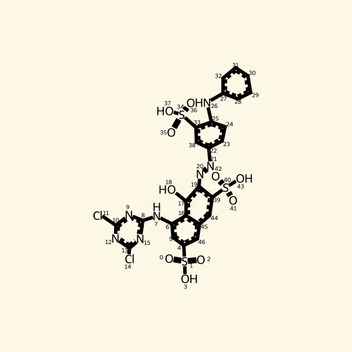 O=S(=O)(O)c1cc(Nc2nc(Cl)nc(Cl)n2)c2c(O)c(/N=N/c3ccc(Nc4ccccc4)c(S(=O)(=O)O)c3)c(S(=O)(=O)O)cc2c1